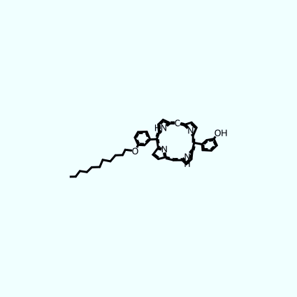 CCCCCCCCCCCOc1cccc(-c2c3nc(cc4ccc([nH]4)c(-c4cccc(O)c4)c4nc(cc5ccc2[nH]5)C=C4)C=C3)c1